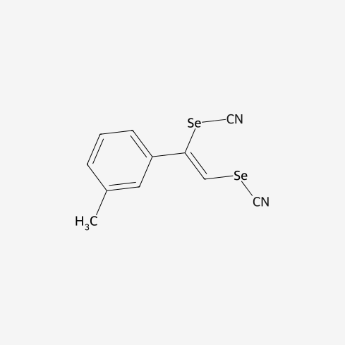 Cc1cccc(C(=C[Se]C#N)[Se]C#N)c1